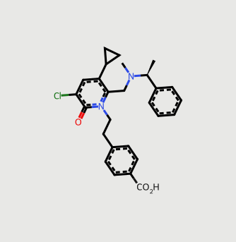 C[C@@H](c1ccccc1)N(C)Cc1c(C2CC2)cc(Cl)c(=O)n1CCc1ccc(C(=O)O)cc1